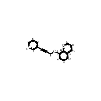 C(#Cc1cccnc1)COc1cccc2cccnc12